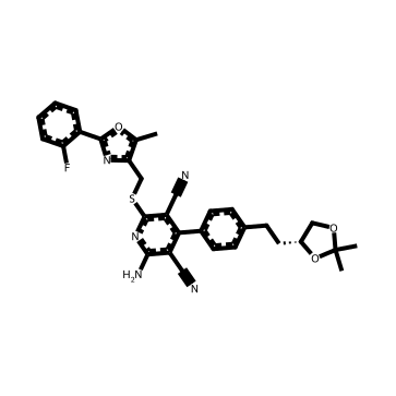 Cc1oc(-c2ccccc2F)nc1CSc1nc(N)c(C#N)c(-c2ccc(CC[C@@H]3COC(C)(C)O3)cc2)c1C#N